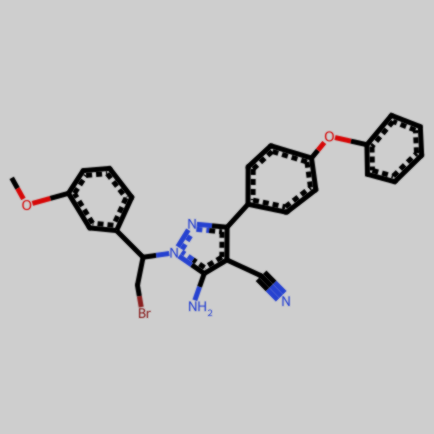 COc1cccc(C(CBr)n2nc(-c3ccc(Oc4ccccc4)cc3)c(C#N)c2N)c1